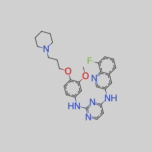 COc1cc(Nc2nccc(Nc3cnc4c(F)cccc4c3)n2)ccc1OCCCN1CCCCC1